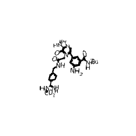 CC[C@@H](C)NC(=O)c1cc(N)cc(-c2cnc(NC(C)C)c(=O)n2CC(=O)NCc2ccc(C(=N)NC(=O)O)cc2)c1